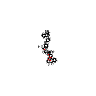 C[C@@H]1CC[C@@H](Oc2cccc(C(C)(O)C(F)(F)O[PH](=O)OC(F)(F)C(C)(O)c3cccc(O[C@@H]4CC[C@@H](C)N(C(=O)c5ccccc5-n5nccn5)C4)c3)c2)CN1C(=O)c1ccccc1-n1nccn1